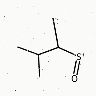 [CH2]C([S+]=O)C(C)C